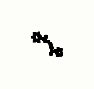 O=C(C#CCOC(=O)c1ccccc1)c1ccsc1